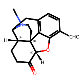 CN1CC[C@@]23c4c5ccc(C=O)c4O[C@@H]2C(=O)CC[C@@H]3C1C5